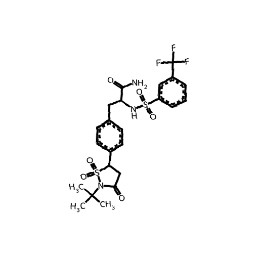 CC(C)(C)N1C(=O)CC(c2ccc(CC(NS(=O)(=O)c3cccc(C(F)(F)F)c3)C(N)=O)cc2)S1(=O)=O